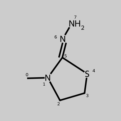 CN1CCSC1=NN